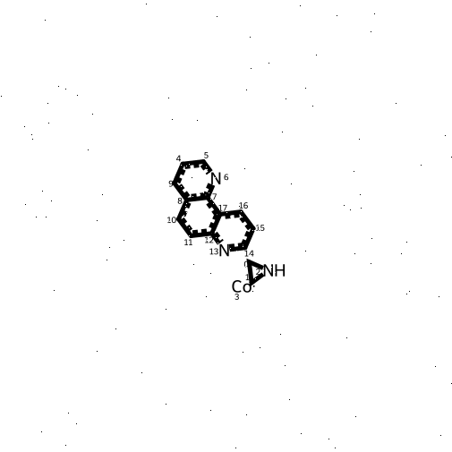 C1CN1.[Co].c1cnc2c(c1)ccc1ncccc12